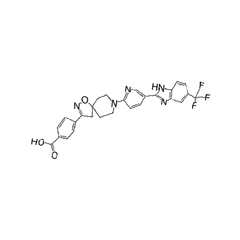 O=C(O)c1ccc(C2=NOC3(CCN(c4ccc(-c5nc6cc(C(F)(F)F)ccc6[nH]5)cn4)CC3)C2)cc1